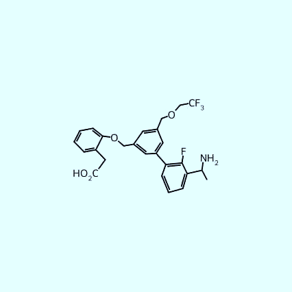 CC(N)c1cccc(-c2cc(COCC(F)(F)F)cc(COc3ccccc3CC(=O)O)c2)c1F